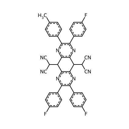 Cc1ccc(-c2nc3c(nc2-c2ccc(F)cc2)C(C(C#N)C#N)c2nc(-c4ccc(F)cc4)c(-c4ccc(F)cc4)nc2C3C(C#N)C#N)cc1